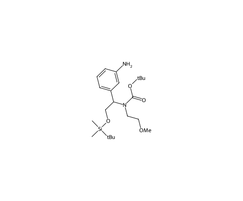 COCCN(C(=O)OC(C)(C)C)C(CO[Si](C)(C)C(C)(C)C)c1cccc(N)c1